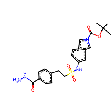 CC(C)(C)OC(=O)n1cc2ccc(NS(=O)(=O)CCc3ccc(C(=O)NN)cc3)cc2c1